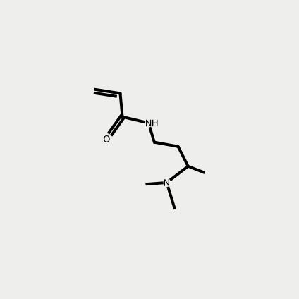 C=CC(=O)NCCC(C)N(C)C